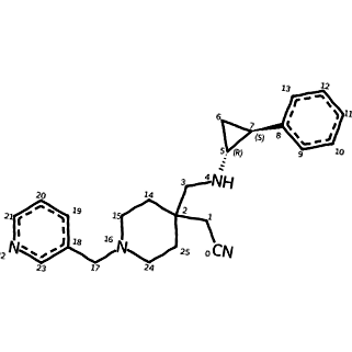 N#CCC1(CN[C@@H]2C[C@H]2c2ccccc2)CCN(Cc2cccnc2)CC1